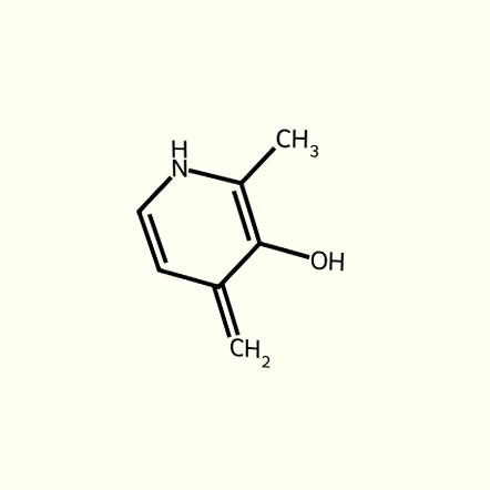 C=C1C=CNC(C)=C1O